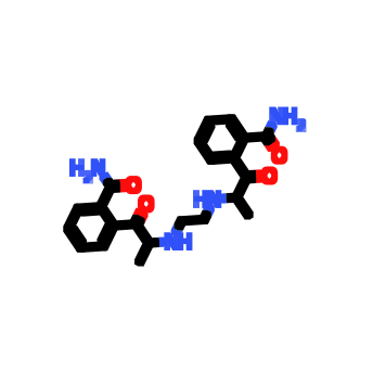 CC(NCCNC(C)C(=O)c1ccccc1C(N)=O)C(=O)c1ccccc1C(N)=O